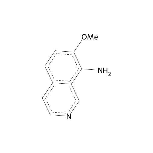 COc1ccc2ccncc2c1N